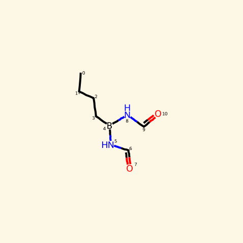 C[CH]CCB(NC=O)NC=O